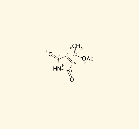 C=COC(C)=O.O=C1C=CC(=O)N1